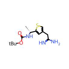 C[C@@H](NC(=O)OC(C)(C)C)c1cc(CC(=N)N)cs1